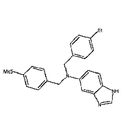 CCc1ccc(CN(Cc2ccc(SC)cc2)c2ccc3[nH]cnc3c2)cc1